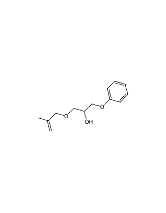 C=C(C)COCC(O)COc1cc[c]cc1